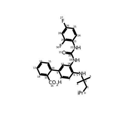 CC(C)CC(C)(C)Nc1ccc(-c2ccccc2C(=O)O)cc1NC(=O)Nc1ccc(F)cc1F